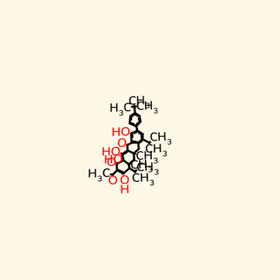 CC(=O)C1=C(O)C(C(C)C)[C@@]2(C)C[C@@]3(C)Cc4c(C(C)C)cc(-c5ccc(C(C)(C)C)cc5)c(O)c4C(=O)C3=C(O)[C@@]2(O)C1=O